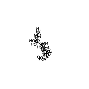 CC(=O)OC[C@H](OC(C)=O)[C@H]1O[C@H](OP(=O)(O)OP(=O)(O)OC[C@H]2O[C@@H](n3cnc4c(N)ncnc43)[C@H](O)[C@@H]2O)[C@@H](OC(C)=O)[C@@H](OC(C)=O)[C@@H]1OC(C)=O